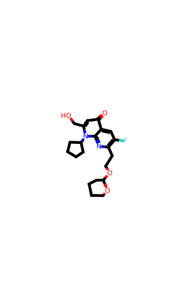 O=c1cc(CO)n(C2CCCC2)c2nc(CCOC3CCCCO3)c(F)cc12